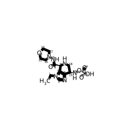 CCn1cnc2c1[C@@H](C(=O)NN1CCOCC1)NC[C@@H]2NOS(=O)(=O)O